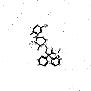 Cc1ccc(O)cc1[C@@]1(C)CCN(CCC(C(=O)N(C)C)(c2ccccc2)c2ccccc2)C(C)[C@H]1O